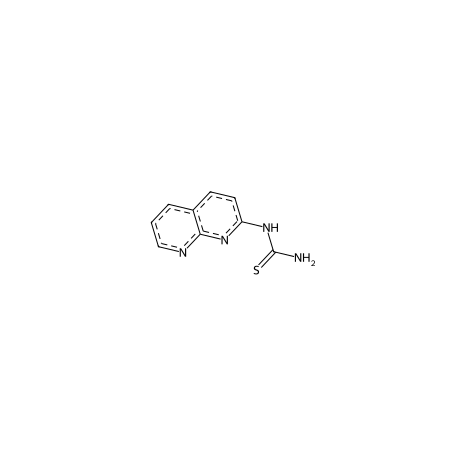 NC(=S)Nc1ccc2cccnc2n1